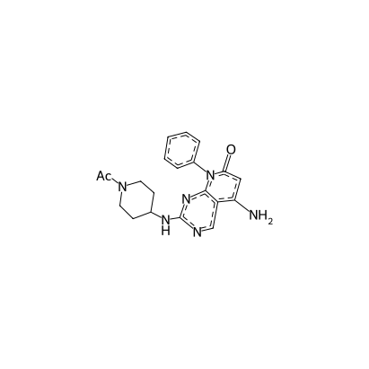 CC(=O)N1CCC(Nc2ncc3c(N)cc(=O)n(-c4ccccc4)c3n2)CC1